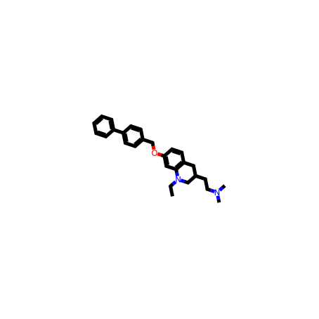 CCN1CC(CCN(C)C)Cc2ccc(OCc3ccc(-c4ccccc4)cc3)cc21